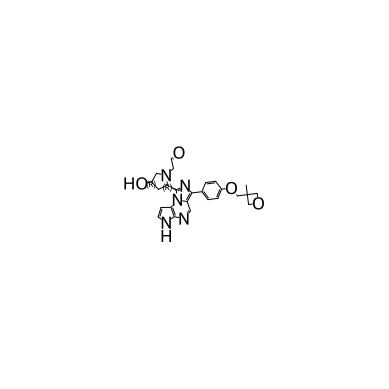 CC1(COc2ccc(-c3nc([C@H]4C[C@@H](O)CN4CC=O)n4c3cnc3[nH]ccc34)cc2)COC1